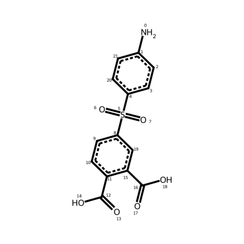 Nc1ccc(S(=O)(=O)c2ccc(C(=O)O)c(C(=O)O)c2)cc1